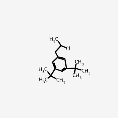 CC(Cl)Cc1cc(C(C)(C)C)cc(C(C)(C)C)c1